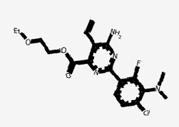 C=Cc1c(N)nc(-c2ccc(Cl)c(N(C)C)c2F)nc1C(=O)OCCOCC